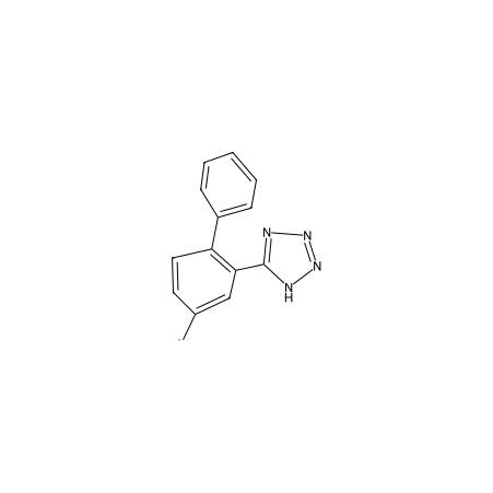 [CH2]c1ccc(-c2ccccc2)c(-c2nnn[nH]2)c1